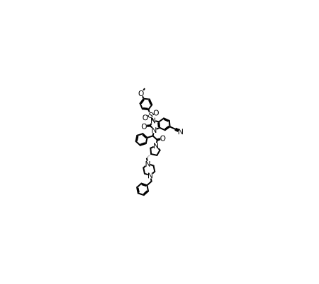 COc1ccc(S(=O)(=O)n2c(=O)n(C(C(=O)N3CC[C@H](CN4CCN(Cc5ccccc5)CC4)C3)c3ccccc3)c3cc(C#N)ccc32)cc1